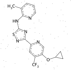 Cc1cccnc1Nc1nc(-c2cc(C(F)(F)F)c(OC3CC3)cn2)ns1